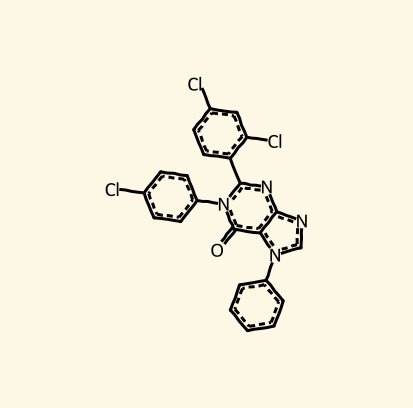 O=c1c2c(ncn2-c2ccccc2)nc(-c2ccc(Cl)cc2Cl)n1-c1ccc(Cl)cc1